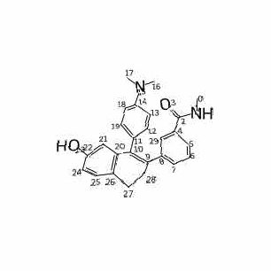 CNC(=O)c1cccc(C2=C(c3ccc(N(C)C)cc3)c3cc(O)ccc3CC2)c1